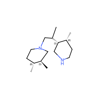 CC(CN1CC[C@@H](C)[C@H](C)C1)[C@H]1CNCC[C@H]1C